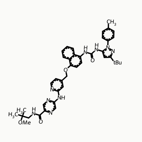 COC(C)(C)CNC(=O)c1cnc(Nc2cc(COc3ccc(NC(=O)Nc4cc(C(C)(C)C)nn4-c4ccc(C)cc4)c4ccccc34)ccn2)cn1